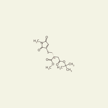 COC(=O)[C@H](CSC1=CC(=O)N(C)C1=O)CC(=O)OC(C)(C)C